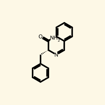 NC(=O)[C@@H](Cc1ccccc1)/N=C\c1ccccc1